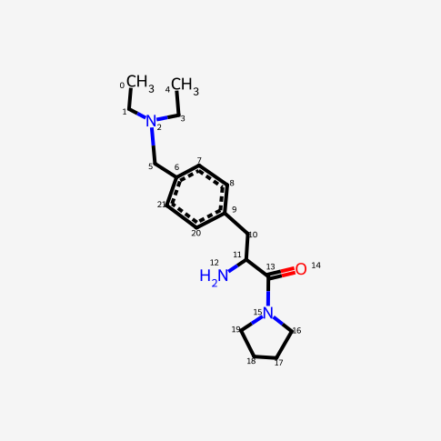 CCN(CC)Cc1ccc(CC(N)C(=O)N2CCCC2)cc1